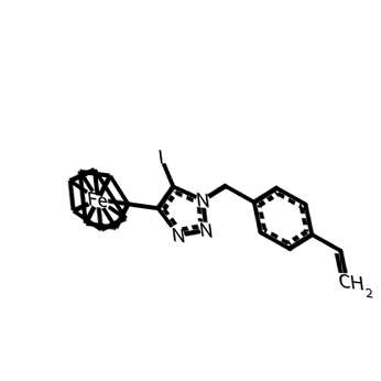 C=Cc1ccc(Cn2nnc([C]34[CH]5[CH]6[CH]7[CH]3[Fe]6754389%10[CH]4[CH]3[CH]8[CH]9[CH]4%10)c2I)cc1